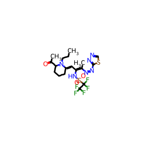 CCCN1/C(=C/C(NS(=O)(=O)C(F)(F)C(F)(F)F)=C(C)/N=N\c2nncs2)CCCC1C(C)=O